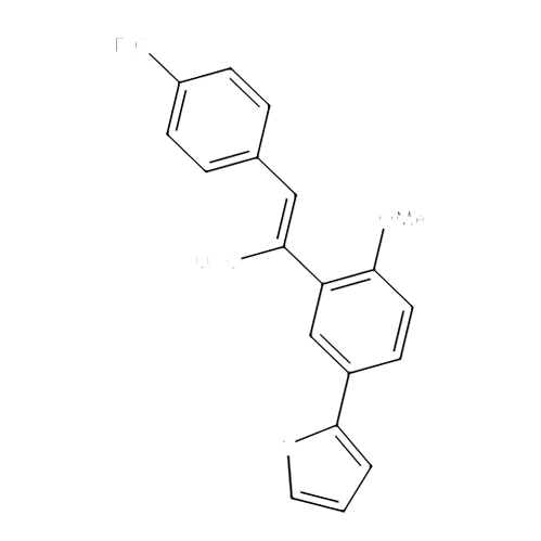 COc1ccc(-c2cccs2)cc1C(C=O)=Cc1ccc(C(F)(F)F)cc1